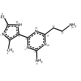 CCc1nc(C)c(-c2nc(N)nc(CCN)n2)[nH]1